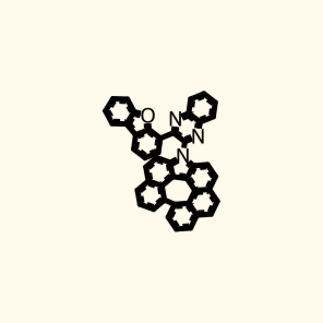 c1cc2c3c(c1)ccc1ccc4c(c13)c1c3c-2cccc3ccc1n4-c1nc2ccccc2nc1-c1cccc2c1oc1ccccc12